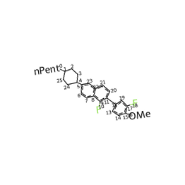 CCCCCC1CCC(c2ccc3c(F)c(-c4ccc(OC)c(F)c4)ccc3c2)CC1